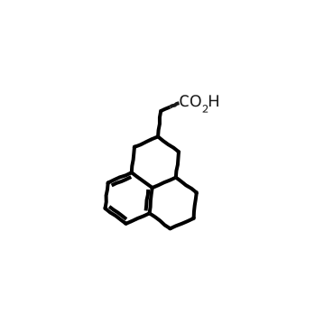 O=C(O)CC1Cc2cccc3c2C(CCC3)C1